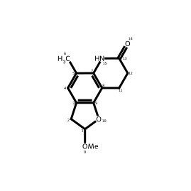 COC1Cc2cc(C)c3c(c2O1)CCC(=O)N3